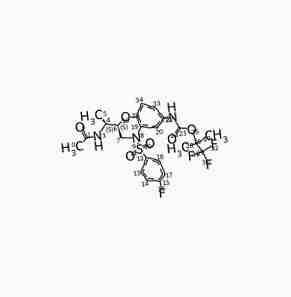 CC(=O)N[C@@H](C)[C@@H]1CN(S(=O)(=O)c2ccc(F)cc2)c2cc(NC(=O)OC(C)(C)C(F)(F)F)ccc2O1